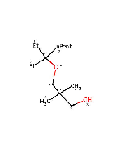 CCCCCC(CC)(CC)OCC(C)(C)CO